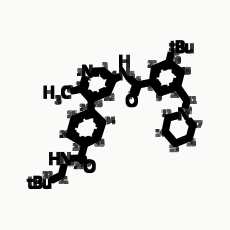 Cc1ncc(NC(=O)c2cc(CN3CCCCC3)cc(C(C)(C)C)c2)cc1-c1ccc(C(=O)NCC(C)(C)C)cc1